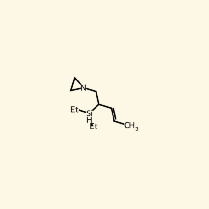 CC=CC(CN1CC1)[SiH](CC)CC